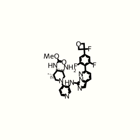 COC(=O)N[C@@H]1[C@H](N)CN(c2ccncc2Nc2ncc3ccc(-c4c(F)cc(C5(F)COC5)cc4F)nn23)C[C@@H]1C